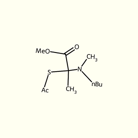 CCCCN(C)C(C)(SC(C)=O)C(=O)OC